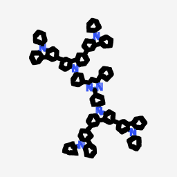 c1ccc(-c2cc(-c3cccc(-n4c5ccc(-c6ccc7c(c6)c6ccccc6n7-c6ccccc6)cc5c5cc(-c6ccc7c(c6)c6ccccc6n7-c6ccccc6)ccc54)c3)nc(-c3ccc(-n4c5ccc(-c6ccc7c(c6)c6ccccc6n7-c6ccccc6)cc5c5cc(-c6ccc7c(c6)c6ccccc6n7-c6ccccc6)ccc54)cc3)n2)cc1